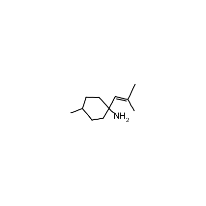 CC(C)=CC1(N)CCC(C)CC1